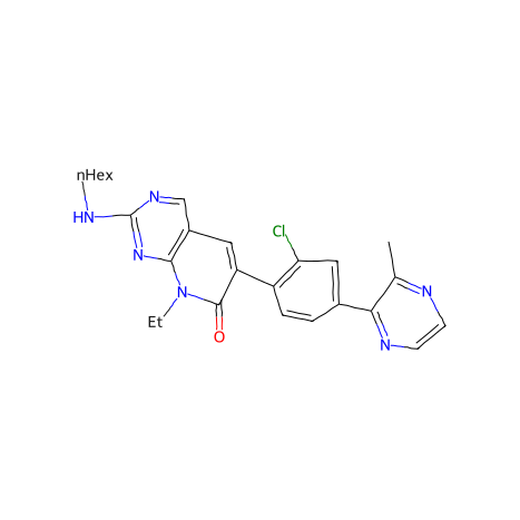 CCCCCCNc1ncc2cc(-c3ccc(-c4nccnc4C)cc3Cl)c(=O)n(CC)c2n1